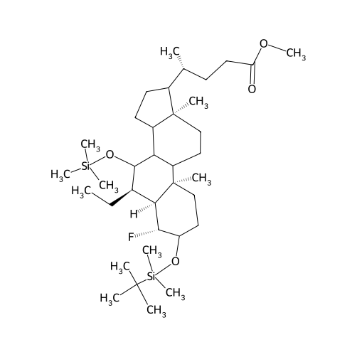 CC[C@H]1C(O[Si](C)(C)C)C2C3CCC([C@H](C)CCC(=O)OC)[C@@]3(C)CCC2[C@@]2(C)CCC(O[Si](C)(C)C(C)(C)C)[C@H](F)[C@@H]12